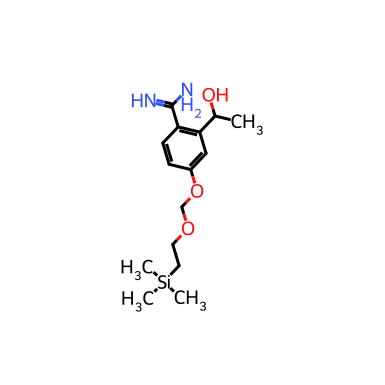 CC(O)c1cc(OCOCC[Si](C)(C)C)ccc1C(=N)N